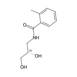 Cc1ccccc1C(=O)NC[C@H](O)CO